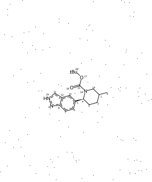 CC1CC[C@@H](c2ccc3n[nH]cc3c2)N(C(=O)OC(C)(C)C)C1